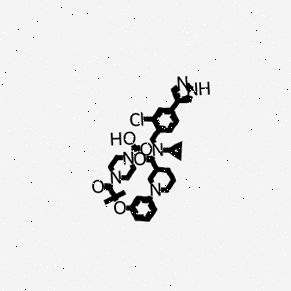 CC(C)(Oc1cccc(N2CCCC(C(=O)N(Cc3ccc(-c4cn[nH]c4)cc3Cl)C3CC3)C2)c1)C(=O)N1CCN(C(=O)O)CC1